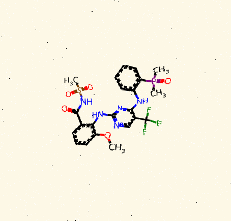 COc1cccc(C(=O)NS(C)(=O)=O)c1Nc1ncc(C(F)(F)F)c(Nc2ccccc2P(C)(C)=O)n1